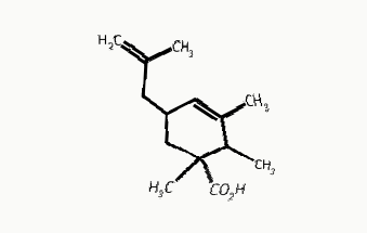 C=C(C)CC1C=C(C)C(C)C(C)(C(=O)O)C1